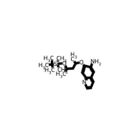 CC(CC(C)O[Si](C)(C)C(C)(C)C)Oc1cc2ncccc2cc1N